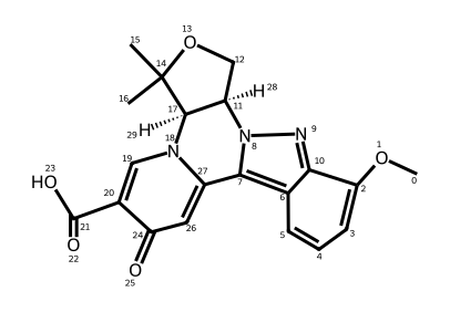 COc1cccc2c3n(nc12)[C@@H]1COC(C)(C)[C@@H]1n1cc(C(=O)O)c(=O)cc1-3